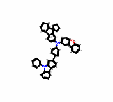 c1ccc(-n2c3ccccc3c3ccc(-c4ccc(N(c5ccc6c(c5)C5(CCCC5)c5ccccc5-6)c5ccc6oc7ccccc7c6c5)cc4)cc32)cc1